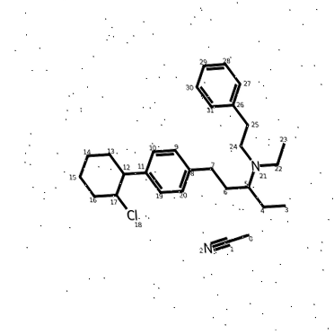 CC#N.CCC(CCc1ccc(C2CCCCC2Cl)cc1)N(CC)CCc1ccccc1